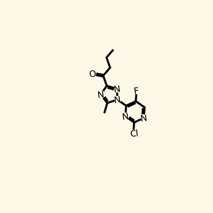 CCCC(=O)c1nc(C)n(-c2nc(Cl)ncc2F)n1